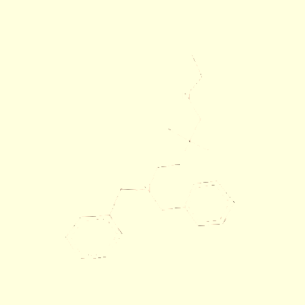 CCNCC(C)(C)CCN(Cc1ccccc1)Cc1ccccc1